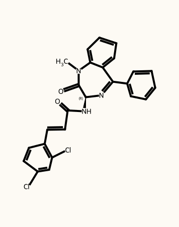 CN1C(=O)[C@H](NC(=O)C=Cc2ccc(Cl)cc2Cl)N=C(c2ccccc2)c2ccccc21